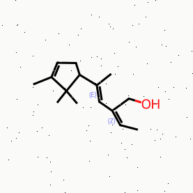 C/C=C(/C=C(\C)C1CC=C(C)C1(C)C)CO